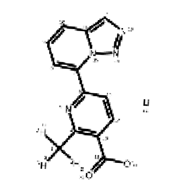 [2H]C([2H])([2H])c1nc(-c2cccc3cnnn23)ccc1C(=O)[O-].[Li+]